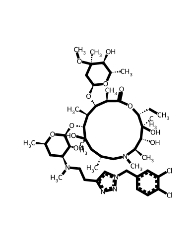 CC[C@H]1OC(=O)[C@H](C)[C@@H](O[C@H]2C[C@@](C)(OC)[C@@H](O)[C@H](C)O2)[C@H](C)[C@@H](O[C@@H]2O[C@H](C)C[C@H](N(C)CCc3cn(Cc4ccc(Cl)c(Cl)c4)nn3)[C@H]2O)[C@](C)(O)C[C@@H](C)CN(C)[C@H](C)[C@@H](O)[C@]1(C)O